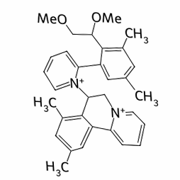 COCC(OC)c1c(C)cc(C)cc1-c1cccc[n+]1C1C[n+]2ccccc2-c2cc(C)cc(C)c21